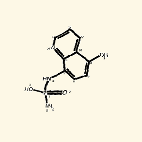 NP(=O)(O)Nc1ccc(O)c2cccnc12